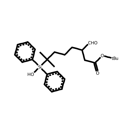 CC(C)(C)OC(=O)CC(C=O)CCCC(C)(C)[Si](O)(c1ccccc1)c1ccccc1